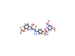 COc1cc(NS(=O)(=O)c2ccc(NC(=S)NC(=O)c3cccc(OC(C)C)c3)cc2)nc(OC)n1